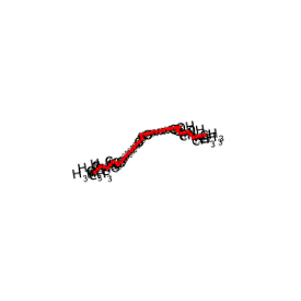 CC(C)CCC[C@@H](C)CCC[C@@H](C)CCCC(C)CCO[C@H](CO)COCCCCCCCCCCCCCOC[C@H]1CC[C@@H](COCCCCCCCCCCCCCOC[C@@H](CO)OCCC(C)CCC[C@H](C)CCC[C@H](C)CCCC(C)C)C1